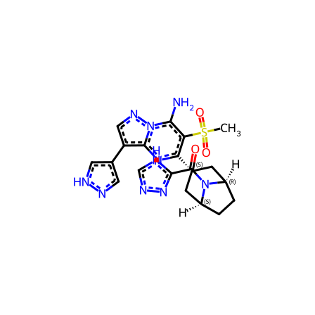 CS(=O)(=O)c1c([C@@H]2C[C@H]3CC[C@@H](C2)N3C(=O)c2nnc[nH]2)nc2c(-c3cn[nH]c3)cnn2c1N